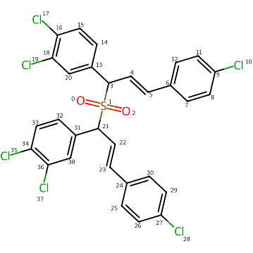 O=S(=O)(C(C=Cc1ccc(Cl)cc1)c1ccc(Cl)c(Cl)c1)C(C=Cc1ccc(Cl)cc1)c1ccc(Cl)c(Cl)c1